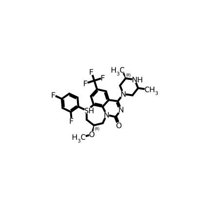 CO[C@@H]1Cn2c(=O)nc(N3CC(C)N[C@H](C)C3)c3cc(C(F)(F)F)cc(c32)[SH](c2ccc(F)cc2F)C1